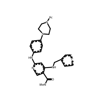 CNC(=O)c1cnc(Nc2ccc(N3CCN(C(C)=O)CC3)cc2)cc1NCc1ccccc1